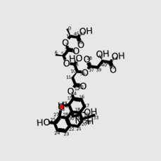 C[C@H](OC(=O)[C@H](C)OC(O)[C@H](CC(=O)OC1=CC[C@@]2(O)[C@H]3Cc4ccc(O)c5c4C2(CCN3C)[C@H]1O5)OC(=O)C[C@H](O)C(=O)O)C(=O)O